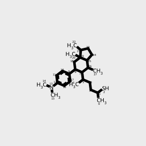 CC(S)CCC(C)C1C(c2ccc(N(C)C)cc2)CC2(C)C(C)CCC2C1C